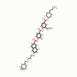 CCCC1CCC(OC(=O)c2ccc(OC(=O)c3ccc(OC(=O)c4ccc5cc(OCCCOCC6CCC7OC7C6)ccc5c4)c(F)c3)c(C=N)c2)CC1